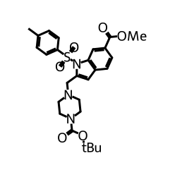 COC(=O)c1ccc2cc(CN3CCN(C(=O)OC(C)(C)C)CC3)n(S(=O)(=O)c3ccc(C)cc3)c2c1